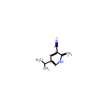 C=C1NC=C(C(C)C)C=C1C#N